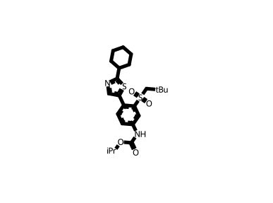 CC(C)OC(=O)Nc1ccc(-c2cnc(C3CCCCC3)s2)c(S(=O)(=O)CC(C)(C)C)c1